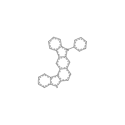 c1ccc(-n2c3ccccc3c3cc4c(ccc5sc6ccccc6c54)cc32)cc1